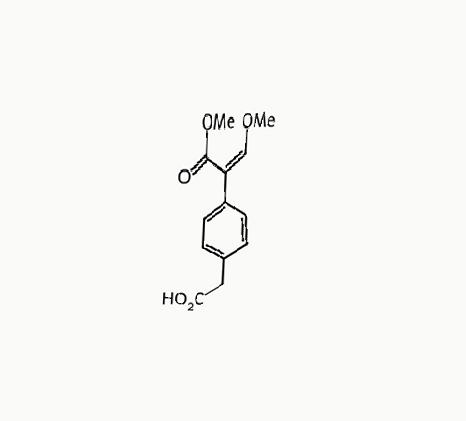 COC=C(C(=O)OC)c1ccc(CC(=O)O)cc1